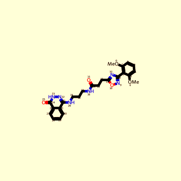 COc1cccc(OC)c1-c1noc(CCC(=O)NCCCNc2n[nH]c(=O)c3ccccc23)n1